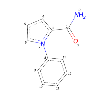 NC(=O)c1cccn1-c1ccccc1